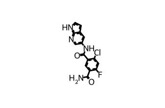 NC(=O)c1cc(C(=O)Nc2cnc3[nH]ccc3c2)c(Cl)cc1F